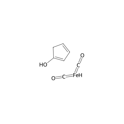 O=[C]=[FeH]=[C]=O.OC1=CC=CC1